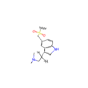 [2H]C([2H])(CN(C)C)c1c[nH]c2ccc(CS(=O)(=O)NC)cc12